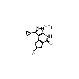 CC1Cc2c(c3c(C4CC4)nn(C)c3[nH]c2=O)C1